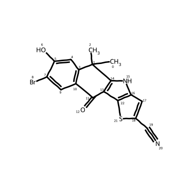 CC1(C)c2cc(O)c(Br)cc2C(=O)c2c1[nH]c1cc(C#N)sc21